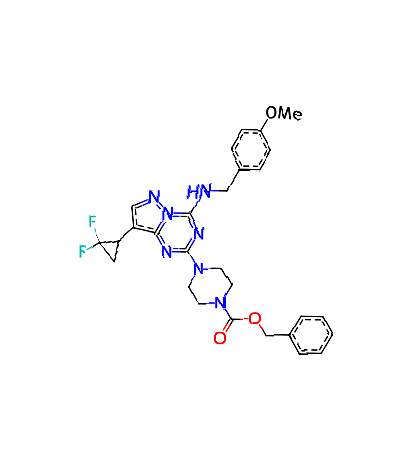 COc1ccc(CNc2nc(N3CCN(C(=O)OCc4ccccc4)CC3)nc3c(C4CC4(F)F)cnn23)cc1